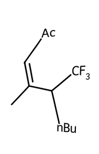 CCCCC(/C(C)=C\C(C)=O)C(F)(F)F